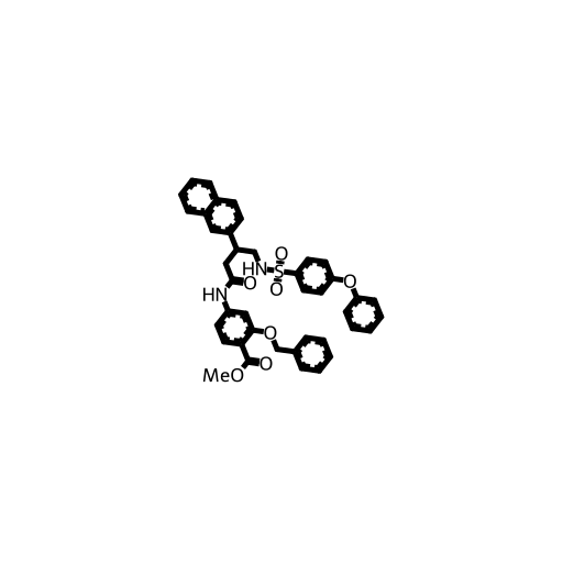 COC(=O)c1ccc(NC(=O)CC(CNS(=O)(=O)c2ccc(Oc3ccccc3)cc2)c2ccc3ccccc3c2)cc1OCc1ccccc1